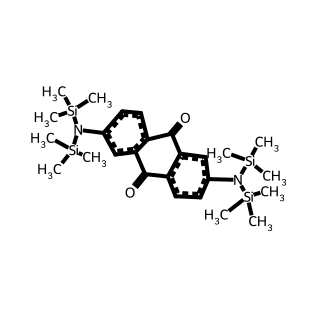 C[Si](C)(C)N(c1ccc2c(c1)C(=O)c1ccc(N([Si](C)(C)C)[Si](C)(C)C)cc1C2=O)[Si](C)(C)C